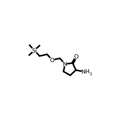 C[Si](C)(C)CCOCN1CCC(N)C1=O